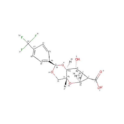 O=C(O)C1[C@@H]2[C@@H](O)[C@@H]3O[C@H](c4ccc(C(F)(F)F)cc4)OC[C@H]3O[C@H]12